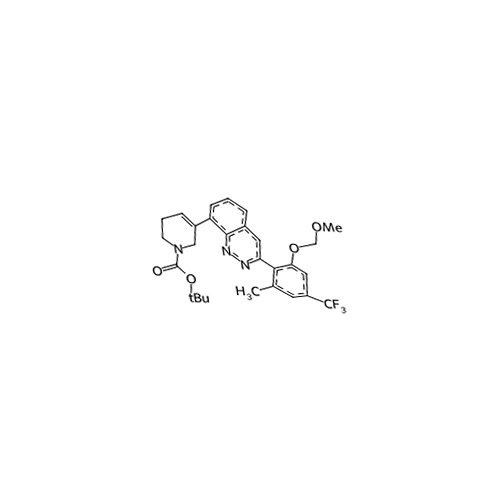 COCOc1cc(C(F)(F)F)cc(C)c1-c1cc2cccc(C3=CCCN(C(=O)OC(C)(C)C)C3)c2nn1